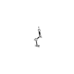 O=N[O][Re]